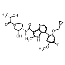 COc1cc(-c2ccnc3c(C(=O)N[C@H]4CCN(C(=O)[C@H](C)O)C[C@H]4O)c(C)[nH]c23)c(OCC2CC2)cc1F